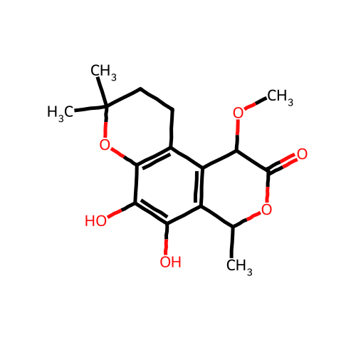 COC1C(=O)OC(C)c2c(O)c(O)c3c(c21)CCC(C)(C)O3